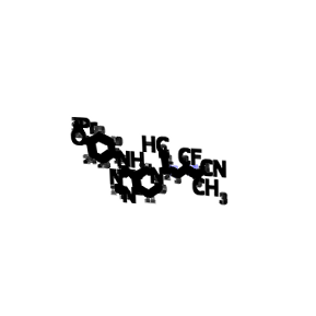 C#C/C(=C\C(=C(/C)C#N)C(F)(F)F)N1CCc2ncnc(Nc3ccc(OC(C)C)cc3)c2C1